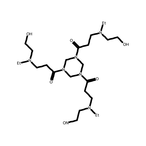 CCN(CCO)CCC(=O)N1CN(C(=O)CCN(CC)CCO)CN(C(=O)CCN(CC)CCN=O)C1